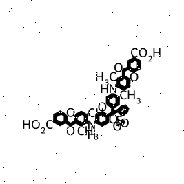 Cc1cc2oc3ccc(C(=O)O)cc3c(=O)c2c(C)c1Nc1ccc2c(c1)Oc1cc(Nc3c(C)cc4oc5ccc(C(=O)O)cc5c(=O)c4c3C)ccc1C21OS(=O)(=O)c2ccccc21